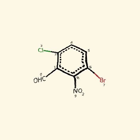 O=Cc1c(Cl)ccc(Br)c1[N+](=O)[O-]